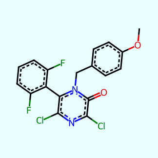 COc1ccc(Cn2c(-c3c(F)cccc3F)c(Cl)nc(Cl)c2=O)cc1